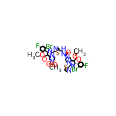 CCOC(=O)C1=C2CN(S(C)(=O)=O)CCN2C(c2ncc(CNC(=O)N3CCN4C(c5nccs5)=N[C@@H](c5ccc(F)cc5Br)C(C(=O)OCC)=C4C3)s2)=NC1c1ccc(F)cc1Br